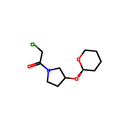 O=C(CCl)N1CCC(O[C@@H]2CCCCO2)C1